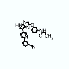 C=CC(=O)Nc1cccc(Oc2cnc3[nH]cc(-c4ccc(-c5cccc(C#N)c5)nc4)c3n2)c1